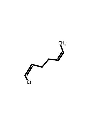 [CH2]/C=C\CC/C=C\CC